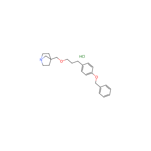 Cl.c1ccc(COc2ccc(CCCOCC34CCN(CC3)C4)cc2)cc1